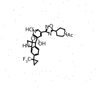 CC(=O)N1CCC(c2nc(-c3cncc([C@@](O)(c4ccc(C5(C(F)(F)F)CC5)cc4)C4(C)CNC4)c3)no2)CC1.Cl